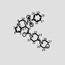 O=C(CC1c2cccn2CCN1S(=O)(=O)c1ccccc1)N1CCC(N2CCOCC2)CC1